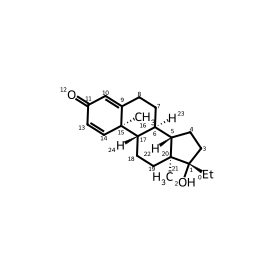 CC[C@]1(O)CC[C@H]2[C@@H]3CCC4=CC(=O)C=C[C@]4(C)[C@H]3CC[C@@]21C